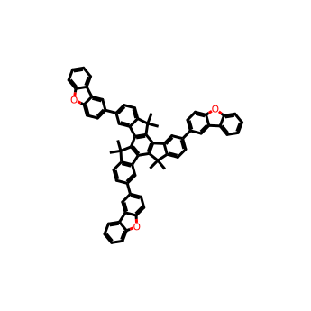 CC1(C)c2ccc(-c3ccc4oc5ccccc5c4c3)cc2-c2c1c1c(c3c2C(C)(C)c2ccc(-c4ccc5oc6ccccc6c5c4)cc2-3)C(C)(C)c2ccc(-c3ccc4oc5ccccc5c4c3)cc2-1